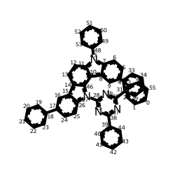 c1ccc(-c2ccc3c(c2)c2c(ccc4c5cc(-c6ccccc6)ccc5n(-c5nc(-c6ccccc6)nc(-c6ccccc6)n5)c42)n3-c2ccccc2)cc1